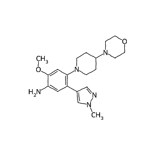 COc1cc(N2CCC(N3CCOCC3)CC2)c(-c2cnn(C)c2)cc1N